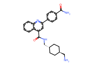 NC[C@H]1CC[C@H](CNC(=O)c2cc(-c3ccc(C(N)=O)cc3)nc3ccccc23)CC1